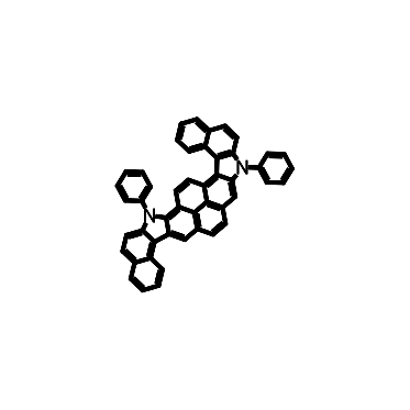 c1ccc(-n2c3ccc4ccccc4c3c3c4ccc5c6c(ccc(cc32)c46)cc2c3c4ccccc4ccc3n(-c3ccccc3)c52)cc1